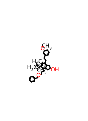 COc1cccc(CCC2=C3CC(O)C[C@]3(CCCOCc3ccccc3)CC([Si](C)(C)C)=C2C)c1